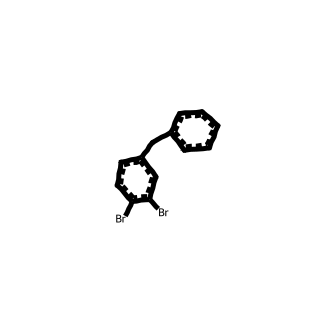 Brc1ccc(Cc2[c]cccc2)cc1Br